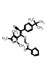 Cc1nn(C)c(/C(OCOC(=O)c2ccccc2)=C(\C#N)c2ccc(C(C)(C)C)cc2)c1C